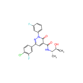 C[C@H](O)[C@H](C)NC(=O)c1cc(-c2ccc(Cl)c(F)c2)nn(-c2cccc(F)c2)c1=O